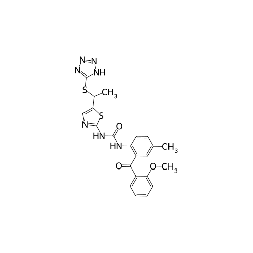 COc1ccccc1C(=O)c1cc(C)ccc1NC(=O)Nc1ncc(C(C)Sc2nnn[nH]2)s1